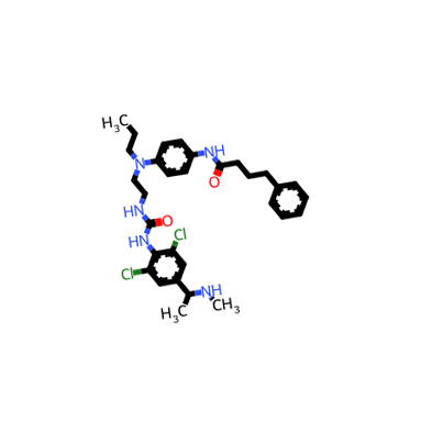 CCCN(CCNC(=O)Nc1c(Cl)cc(C(C)NC)cc1Cl)c1ccc(NC(=O)CCCc2ccccc2)cc1